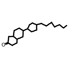 CCCCCCCC1CCC(C2CCC3CC(=O)CCC3C2)CC1